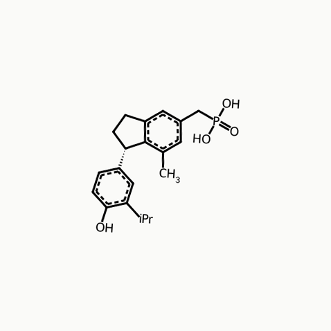 Cc1cc(CP(=O)(O)O)cc2c1[C@H](c1ccc(O)c(C(C)C)c1)CC2